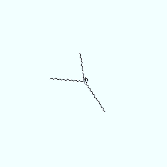 CCCCCCCCCCCCCCCCCCN1C=CN(CCCCCCCCCCCCC)C1CCCCCCCCCCCCCCCCC